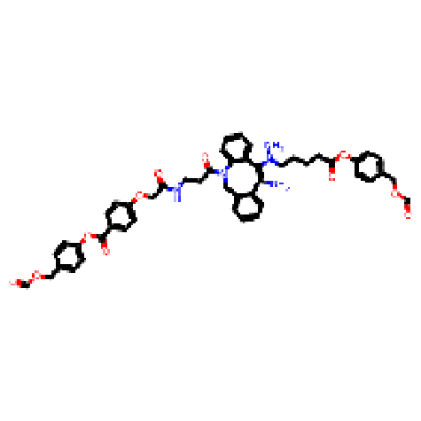 N/C1=C(\N(N)CCCCC(=O)Oc2ccc(COC=O)cc2)c2ccccc2N(C(=O)CCNC(=O)COc2ccc(C(=O)Oc3ccc(COC=O)cc3)cc2)Cc2ccccc21